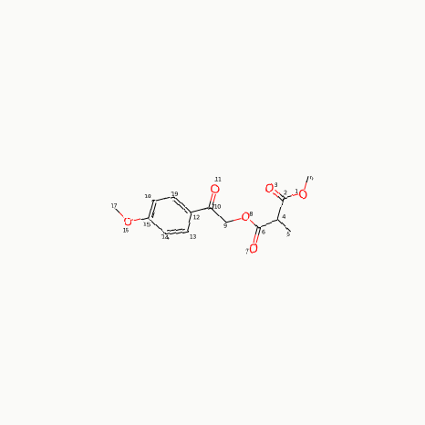 COC(=O)C(C)C(=O)OCC(=O)c1ccc(OC)cc1